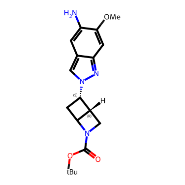 COc1cc2nn([C@H]3CC4[C@H]3CN4C(=O)OC(C)(C)C)cc2cc1N